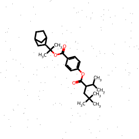 CC(C)C(CC(C)(C)C)C(=O)Oc1ccc(C(=O)OC(C)(C)C2CC3CCC2C3)cc1